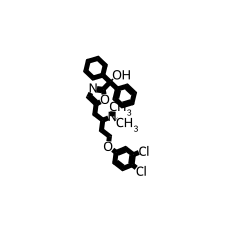 CN(C)C(CCOc1ccc(Cl)c(Cl)c1)Cc1cnc([C@](O)(c2ccccc2)C2CCCCC2)o1